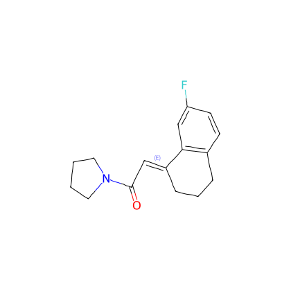 O=C(/C=C1\CCCc2ccc(F)cc21)N1CCCC1